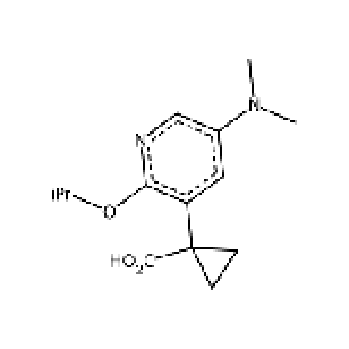 CC(C)Oc1ncc(N(C)C)cc1C1(C(=O)O)CC1